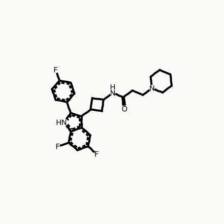 O=C(CCN1CCCCC1)NC1CC(c2c(-c3ccc(F)cc3)[nH]c3c(F)cc(F)cc23)C1